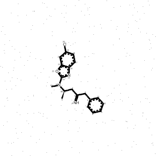 C[C@H](CC(=N)Cc1ccccc1)N(C)c1nc2ccc(Cl)cc2o1